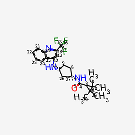 CC1(C)C(C(=O)N[C@H]2CC[C@@H](Nc3cc(C(F)(F)F)nc4ccccc34)CC2)C1(C)C